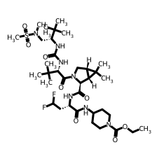 CCOC(=O)N1CCC(NC(=O)[C@H](CC(F)F)NC(=O)[C@@H]2[C@@H]3[C@H](CN2C(=O)[C@@H](NC(=O)N[C@H](CN(C)S(C)(=O)=O)C(C)(C)C)C(C)(C)C)C3(C)C)CC1